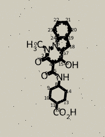 Cn1c(=O)c(C(=O)NC2CCC(C(=O)O)CC2)c(O)c2cc3ccccc3n21